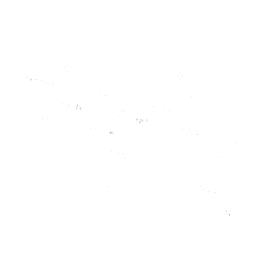 CC(C)(C)C(=O)C(=O)N1CC[C@H](NCc2cc(-c3ccc(C#N)cc3F)ccc2OC(F)(F)F)[C@H](c2ccccc2)C1